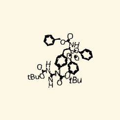 CC(C)(C)OC(=O)NC(=N)N(C(=O)OC(C)(C)C)c1ccc(CC(NC(=O)OCc2ccccc2)P(=O)(Oc2ccccc2)Oc2ccccc2)cc1